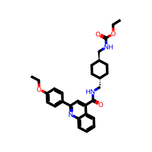 CCOC(=O)NC[C@H]1CC[C@H](CNC(=O)c2cc(-c3ccc(OCC)cc3)nc3ccccc23)CC1